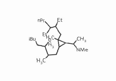 CCCC(CC)C(CC)CC1(C)C(CC(C)C(C)CC(C)CC)C1C(C)NC